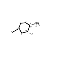 C[C@@H]1CN(C)CC[C@@H]1N